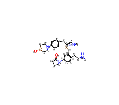 C=N/C=C(/Cc1ccc(N2CC[S+]([O-])CC2)cc1)SCc1cc(N2CCCC2=O)ccc1CCNC